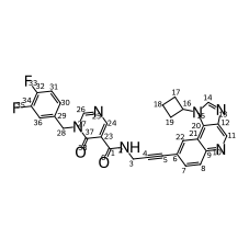 O=C(NCC#Cc1ccc2ncc3ncn(C4CCC4)c3c2c1)c1cncn(Cc2ccc(F)c(F)c2)c1=O